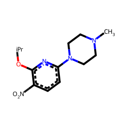 CC(C)Oc1nc(N2CCN(C)CC2)ccc1[N+](=O)[O-]